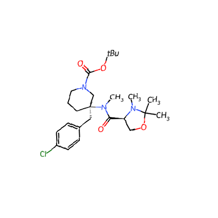 CN1[C@H](C(=O)N(C)[C@@]2(Cc3ccc(Cl)cc3)CCCN(C(=O)OC(C)(C)C)C2)COC1(C)C